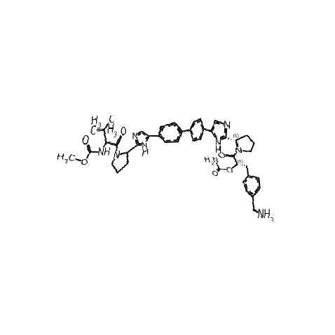 COC(=O)NC(C(=O)N1CCCC1c1ncc(-c2ccc(-c3ccc(-c4cnc([C@@H]5CCCN5C(=O)[C@H](Cc5ccc(CN)cc5)OC(N)=O)[nH]4)cc3)cc2)[nH]1)C(C)C